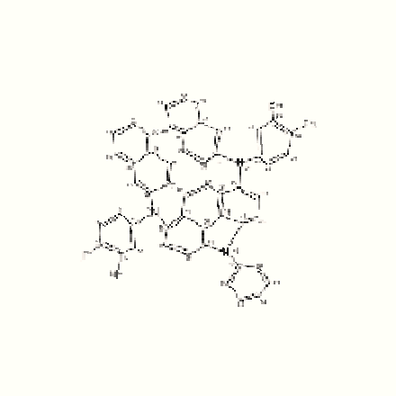 Fc1ccc(N(c2ccc3ccccc3c2)c2ccc3c4c2ccc2c(N(c5ccc(F)c(F)c5)c5ccc6ccccc6c5)ccc(c24)n3-c2ccccc2)cc1F